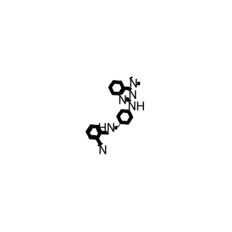 CN(C)c1nc(N[C@H]2CC[C@@H](CNCc3ccccc3C#N)CC2)nc2c1CCCC2